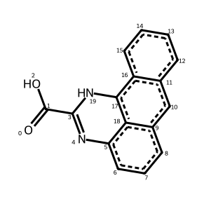 O=C(O)C1=Nc2cccc3cc4ccccc4c(c23)N1